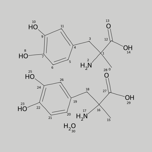 CC(N)(Cc1ccc(O)c(O)c1)C(=O)O.CC(N)(Cc1ccc(O)c(O)c1)C(=O)O.O